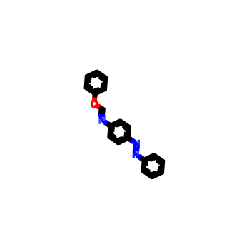 C(=Nc1ccc(N=Nc2ccccc2)cc1)Oc1ccccc1